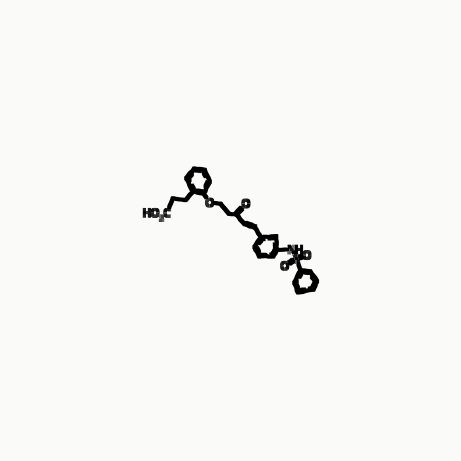 O=C(O)CCc1ccccc1OCCC(=O)/C=C/c1cccc(NS(=O)(=O)c2ccccc2)c1